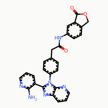 Nc1ncccc1-c1nc2cccnc2n1-c1ccc(CC(=O)Nc2ccc3c(c2)C(=O)OC3)cc1